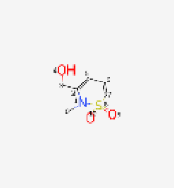 CN1C(CO)=CC=CS1(=O)=O